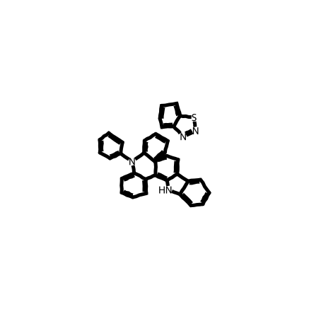 c1ccc(N(c2ccccc2)c2ccccc2-c2cccc3c2[nH]c2ccccc23)cc1.c1ccc2snnc2c1